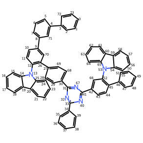 c1ccc(-c2cccc(-c3ccc(-n4c5ccccc5c5ccccc54)c(-c4ccc(-c5nc(-c6ccccc6)nc(-c6ccc(-c7ccccc7)c(-n7c8ccccc8c8ccccc87)c6)n5)cc4)c3)c2)cc1